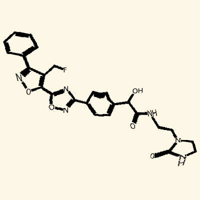 O=C(NCCN1CCNC1=O)C(O)c1ccc(-c2noc(-c3onc(-c4ccccc4)c3CF)n2)cc1